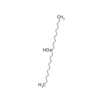 CCCCCCCCCCP(O)CCCCCCCCCC